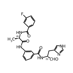 C[C@@H](NC(=O)c1cccc(F)c1)C(=O)Nc1cccc(C(=O)N[C@H](C=O)Cc2c[nH]cn2)c1